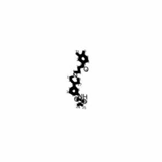 Cc1ccc(C(=O)CCCN2CCC(c3cccc(NS(=O)(=O)C(C)C)c3)CC2)cc1C